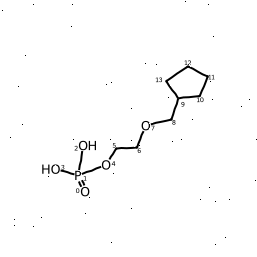 O=P(O)(O)OCCOCC1CCCC1